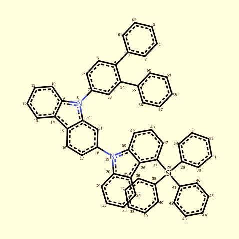 c1ccc(-c2ccc(-n3c4ccccc4c4ccc(-n5c6ccccc6c6c([Si](c7ccccc7)(c7ccccc7)c7ccccc7)cccc65)cc43)cc2-c2ccccc2)cc1